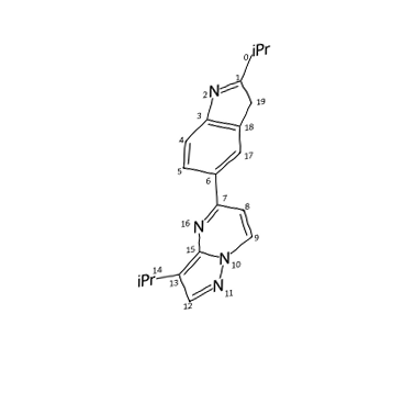 CC(C)C1=Nc2ccc(-c3ccn4ncc(C(C)C)c4n3)cc2C1